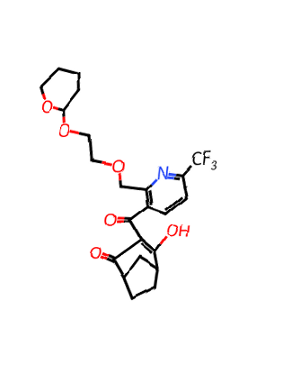 O=C(C1=C(O)C2CCC(C2)C1=O)c1ccc(C(F)(F)F)nc1COCCOC1CCCCO1